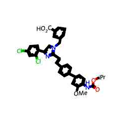 COc1cc(-c2ccc(C=Cc3nc(-c4ccc(Cl)cc4Cl)cn3Cc3cccc(C(=O)O)c3)cc2)ccc1NC(=O)OC(C)C